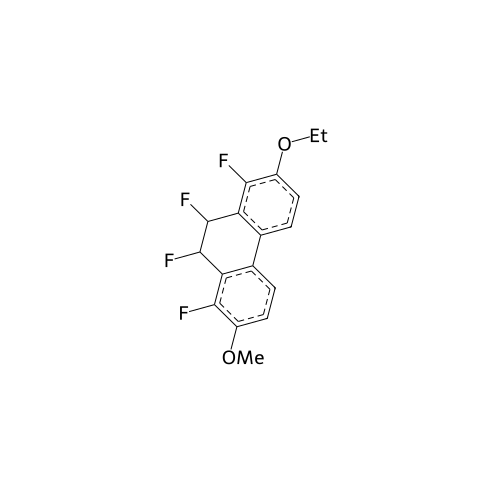 CCOc1ccc2c(c1F)C(F)C(F)c1c-2ccc(OC)c1F